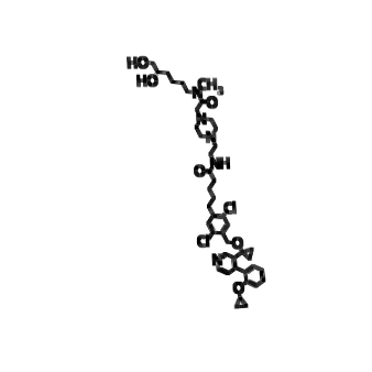 CN(CCCC[C@H](O)CO)C(=O)CN1CCN(CCNC(=O)CCCCc2cc(Cl)c(COC3(c4cnccc4-c4ccccc4OC4CC4)CC3)cc2Cl)CC1